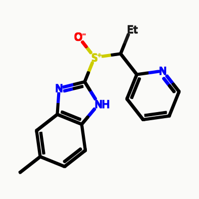 CCC(c1ccccn1)[S+]([O-])c1nc2cc(C)ccc2[nH]1